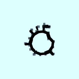 CO[C@H]1/C=C/CC/C(C)=C\COC/C(C)=C\[C@@H](C)[C@@H]1C